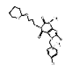 Cn1c(=O)n(CCCOC2CCCCO2)c(=O)c2c1nc(Br)n2C[C@]1(C)C=CC(Cl)=CC1